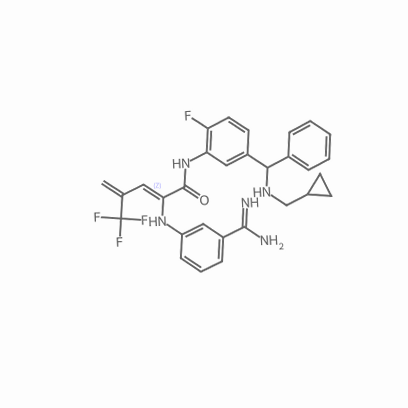 C=C(/C=C(\Nc1cccc(C(=N)N)c1)C(=O)Nc1cc(C(NCC2CC2)c2ccccc2)ccc1F)C(F)(F)F